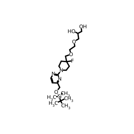 CC(C)(C)[Si](C)(C)OCc1ccnc(N2CCC(F)(COCCOCC(O)CO)CC2)n1